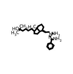 CC(C)(O)CCCCC1CCC2/C(=C/CN(N)/N=C(\N)c3ccccc3)CCCC12C